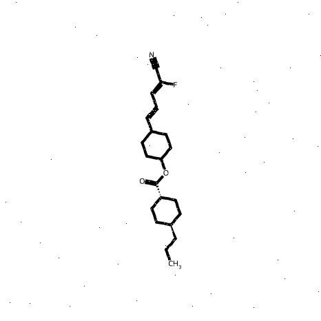 CCC[C@H]1CC[C@H](C(=O)OC2CCC(/C=C/C=C(F)C#N)CC2)CC1